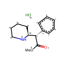 COC(=O)[C@@H](c1ccccc1)[C@@H]1CCCCN1.Cl